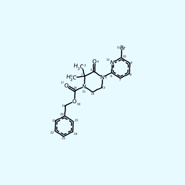 CC1(C)C(=O)N(c2cccc(Br)n2)CCN1C(=O)OCc1ccccc1